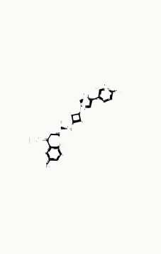 O=C(NC1=CC(n2cnc(-c3ccc(C(F)(F)F)nc3)c2)C1)[C@@H]1C[C@@H](O)c2cc(Cl)ccc2O1